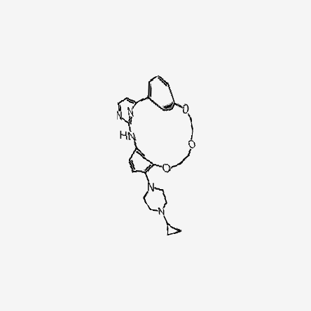 c1cc2cc(c1)-c1ccnc(n1)Nc1ccc(N3CCN(C4CC4)CC3)c(c1)OCCOCCO2